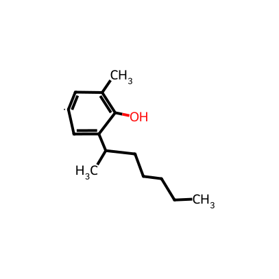 CCCCCC(C)c1c[c]cc(C)c1O